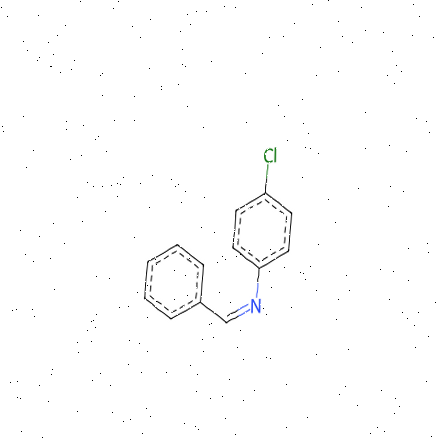 Clc1ccc(/N=C\c2ccccc2)cc1